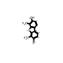 Oc1ccc2c(sc3c(C(F)(F)F)c(Br)ccc32)c1C(F)(F)F